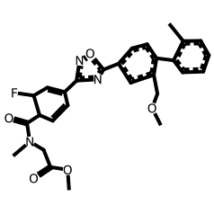 COCc1cc(-c2nc(C3=CC(F)C(C(=O)N(C)CC(=O)OC)C=C3)no2)ccc1-c1ccccc1C